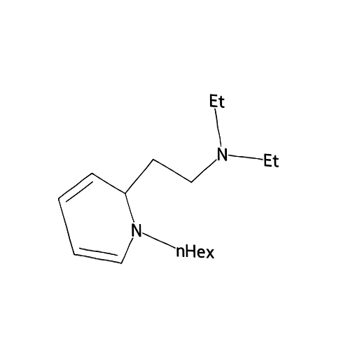 CCCCCCN1C=CC=CC1CCN(CC)CC